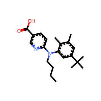 CCCCN(c1ccc(C(=O)O)cn1)c1cc(C(C)(C)C)cc(C)c1C